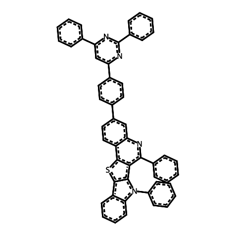 c1ccc(-c2cc(-c3ccc(-c4ccc5c(c4)nc(-c4ccccc4)c4c5sc5c6ccccc6n(-c6ccccc6)c54)cc3)nc(-c3ccccc3)n2)cc1